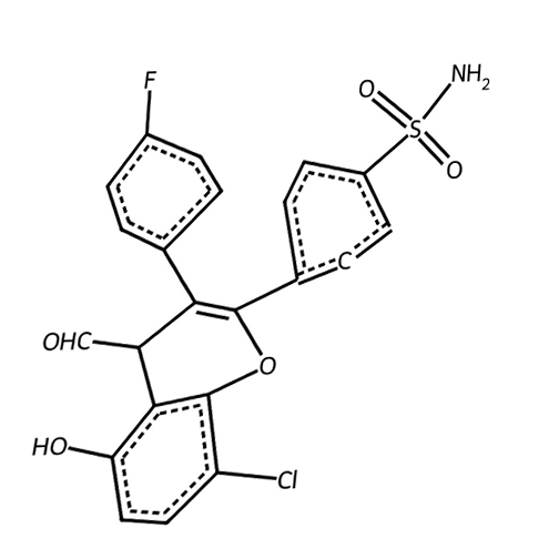 NS(=O)(=O)c1ccc(C2=C(c3ccc(F)cc3)C(C=O)c3c(O)ccc(Cl)c3O2)cc1